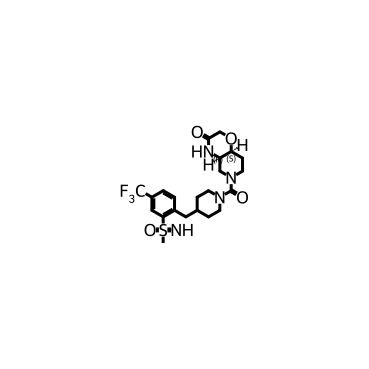 CS(=N)(=O)c1cc(C(F)(F)F)ccc1CC1CCN(C(=O)N2CC[C@@H]3OCC(=O)N[C@@H]3C2)CC1